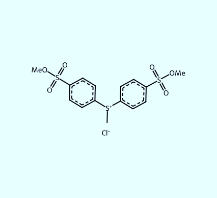 COS(=O)(=O)c1ccc([S+](C)c2ccc(S(=O)(=O)OC)cc2)cc1.[Cl-]